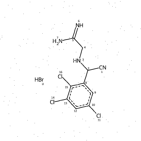 Br.N#CC(NCC(=N)N)c1cc(Cl)cc(Cl)c1Cl